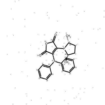 C[C@@H]1CC[C@@H](C)P1C1=C(P(c2ccccc2)c2ccccc2)C(=O)OC1=O